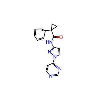 O=C(Nc1ccn(-c2ccncn2)n1)C1(c2ccccc2)CC1